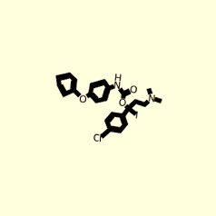 CN(C)CCC(I)(OC(=O)Nc1ccc(Oc2ccccc2)cc1)c1ccc(Cl)cc1